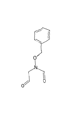 O=CCN(C=O)OCc1ccccc1